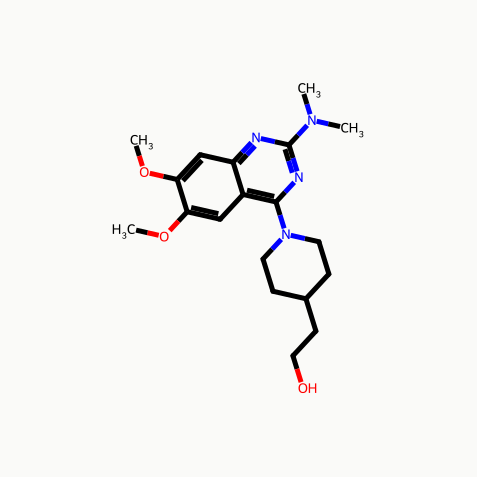 COc1cc2nc(N(C)C)nc(N3CCC(CCO)CC3)c2cc1OC